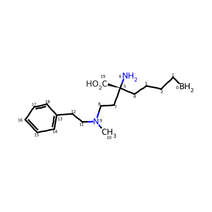 BCCCC[C@@](N)(CCN(C)CCc1ccccc1)C(=O)O